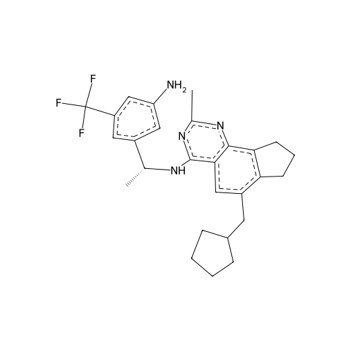 Cc1nc(N[C@H](C)c2cc(N)cc(C(F)(F)F)c2)c2cc(CC3CCCC3)c3c(c2n1)CCC3